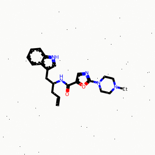 C=CCC(Cc1c[nH]c2ccccc12)NC(=O)c1cnc(N2CCN(CC)CC2)o1